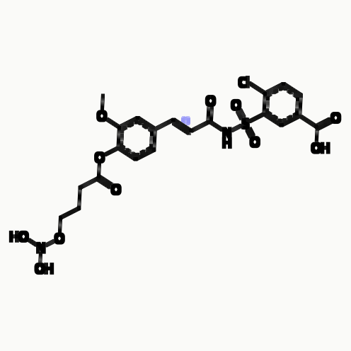 COc1cc(/C=C/C(=O)NS(=O)(=O)c2cc(C(=O)O)ccc2Cl)ccc1OC(=O)CCCON(O)O